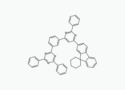 c1ccc(-c2nc(-c3cccc(-c4nc(-c5ccccc5)nc(-c5ccccc5)n4)c3)cc(-c3ccc4c(c3)C3(CCCCC3)c3ccccc3-4)n2)cc1